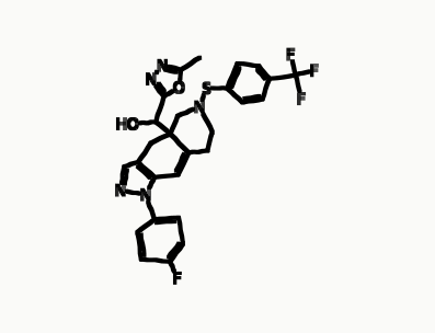 Cc1nnc(C(O)C23Cc4cnn(-c5ccc(F)cc5)c4C=C2CCN(Sc2ccc(C(F)(F)F)cc2)C3)o1